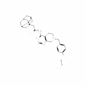 O=C(CC12CC3CC(CC(C3)C1)C2)Nc1ncnc2c1CCN(Cc1ccc(OCCO)cc1)C2